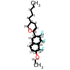 CCCCCC1CC=C(c2cc3ccc(OCC)c(F)c3c(F)c2F)OC1